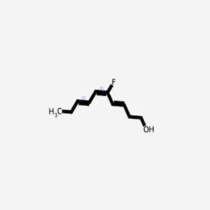 CC/C=C/C=C(/F)C=CCCO